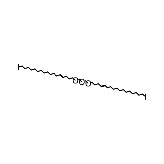 ICCCCCCCCCCCCC=CCCCOCOCOCCCC=CCCCCCCCCCCCCI